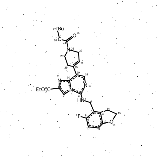 CCOC(=O)c1cn2c(NCc3c(F)ccc4c3CCO4)ncc(C3=CCN(C(=O)OC(C)(C)C)CC3)c2n1